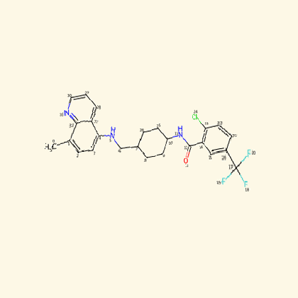 Cc1ccc(NCC2CCC(NC(=O)c3cc(C(F)(F)F)ccc3Cl)CC2)c2cccnc12